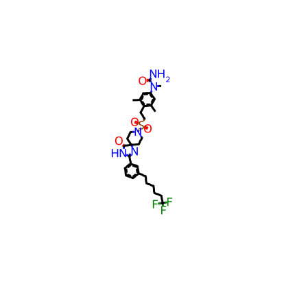 Cc1cc(N(C)C(N)=O)cc(C)c1CCS(=O)(=O)N1CCC2(CC1)N=C(c1cccc(CCCCCC(F)(F)F)c1)NC2=O